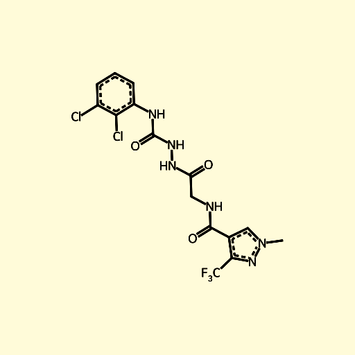 Cn1cc(C(=O)NCC(=O)NNC(=O)Nc2cccc(Cl)c2Cl)c(C(F)(F)F)n1